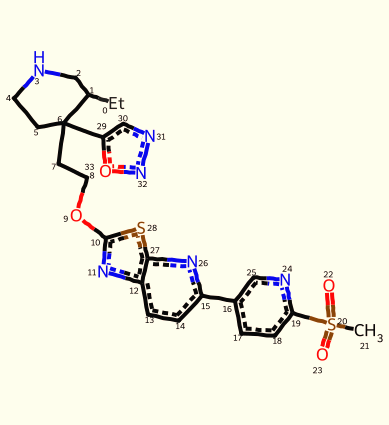 CCC1CNCCC1(CCOc1nc2ccc(-c3ccc(S(C)(=O)=O)nc3)nc2s1)c1cnno1